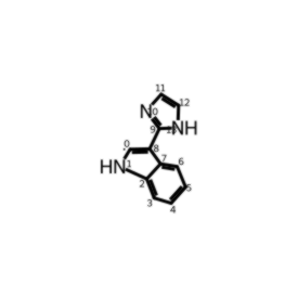 [c]1[nH]c2ccccc2c1-c1ncc[nH]1